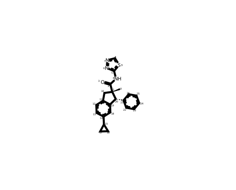 C[C@]1(C(=O)Nc2nncs2)Cc2ccc(C3CC3)cc2[C@H]1c1ccccc1